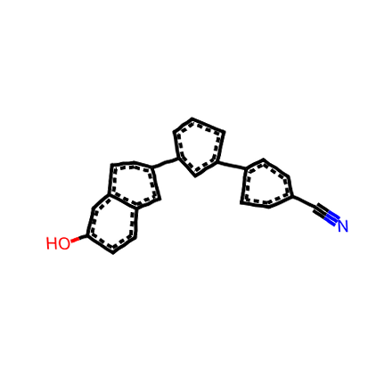 N#Cc1ccc(-c2cccc(-c3ccc4cc(O)ccc4c3)c2)cc1